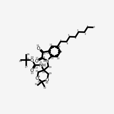 CCCCCCCCc1ccc2c(c1)C(=O)C(=O)N2CC1(NC(=O)OC(C)(C)C)COC(C)(C)OC1